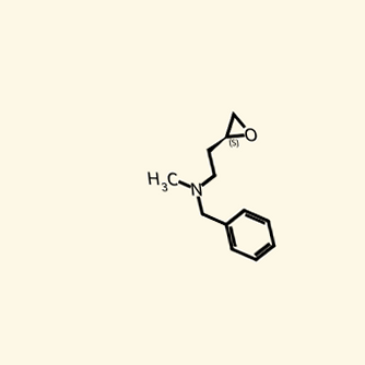 CN(CC[C@H]1CO1)Cc1ccccc1